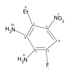 CCc1c([N+](=O)[O-])cc(F)c(N)c1N